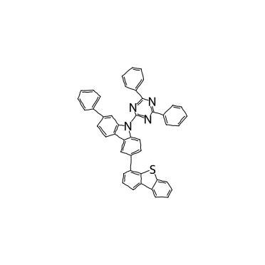 c1ccc(-c2ccc3c4cc(-c5cccc6c5sc5ccccc56)ccc4n(-c4nc(-c5ccccc5)nc(-c5ccccc5)n4)c3c2)cc1